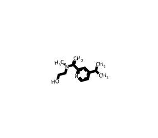 C=C(c1cc(C(C)C)ccn1)N(C)CCO